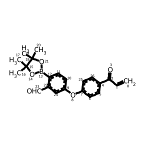 C=CC(=O)c1ccc(Oc2ccc(B3OC(C)(C)C(C)(C)O3)c(C=O)c2)cc1